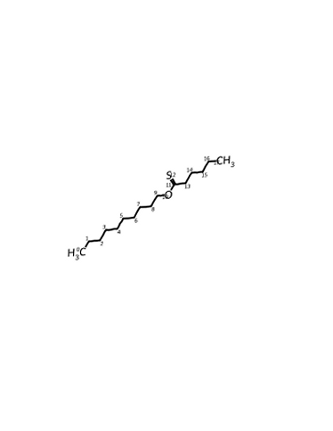 CCCCCCCCCCOC(=S)CCCCC